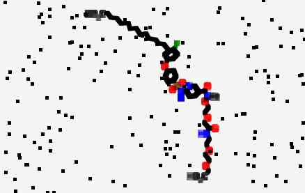 CCN(OCCOCC(=O)NCCOCCOCC(=O)O)C(=O)c1ccc(NS(=O)(=O)c2ccc(Oc3ccc(F)c(CCCCCCCCCCCCCC(=O)O)c3)cc2)nc1